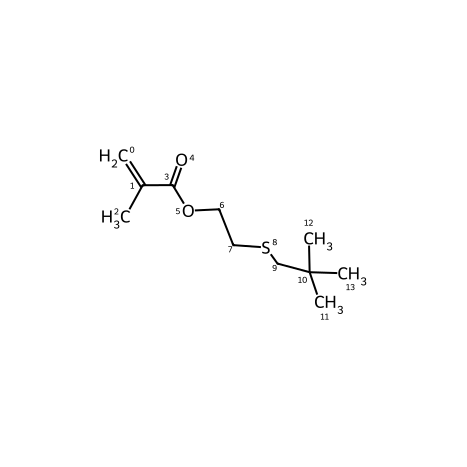 C=C(C)C(=O)OCCSCC(C)(C)C